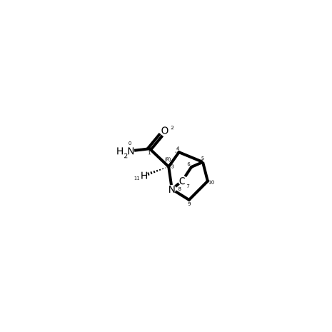 NC(=O)[C@H]1[CH]C2CCN1CC2